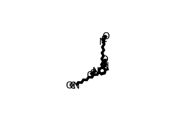 CC1C=CC(CCCCCCCCN=C=O)(N=C=O)CC1(CCCCCCCCN=C=O)N=C=O